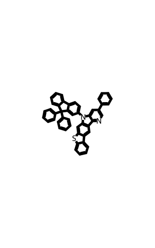 c1ccc(-c2cnc3c4cc5c(cc4n(-c4ccc6c(c4)C(c4ccccc4)(c4ccccc4)c4ccccc4-6)c3c2)sc2ccccc25)cc1